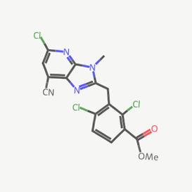 COC(=O)c1ccc(Cl)c(Cc2nc3c(C#N)cc(Cl)nc3n2C)c1Cl